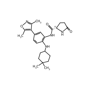 Cc1noc(C)c1-c1ccc(NC2CCC(C)(C)CC2)c(NC(=O)[C@@H]2CCC(=O)N2)c1